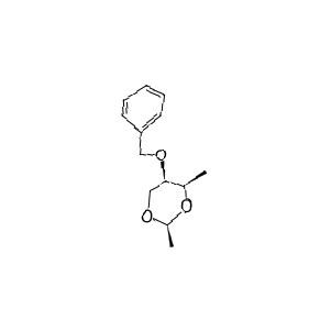 C[C@H]1OC[C@@H](OCc2ccccc2)[C@@H](C)O1